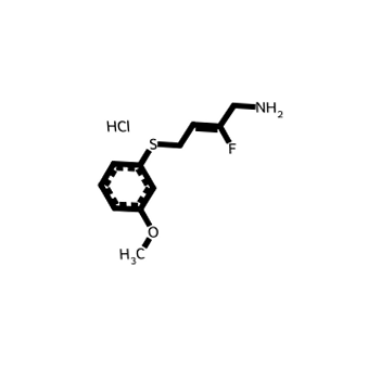 COc1cccc(SCC=C(F)CN)c1.Cl